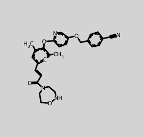 Cc1cc(/C=C/C(=O)N2CCNOCC2)cc(C)c1Oc1ccc(OCc2ccc(C#N)cc2)cn1